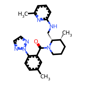 Cc1ccc(-n2nccn2)c(C(=O)N2CCC[C@@H](C)[C@H]2CNc2cccc(C)n2)c1